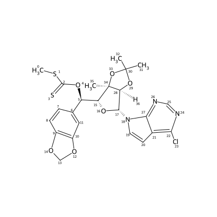 CSC(=S)O[C@H](c1ccc2c(c1)OCO2)[C@H]1O[C@@H](n2ccc3c(Cl)ncnc32)[C@@H]2OC(C)(C)O[C@]12C